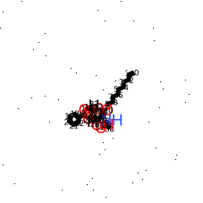 C=CCCCCCCCCO[C@@H]1O[C@@H]2COC(c3ccccc3)O[C@@H]2[C@H](O)[C@H]1NC(C)=O